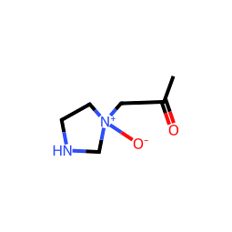 CC(=O)C[N+]1([O-])CCNC1